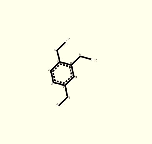 CCc1ccc(CI)c(CI)c1